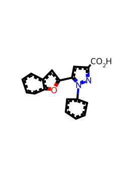 O=C(O)c1cc(-c2cc3ccccc3o2)n(-c2ccccc2)n1